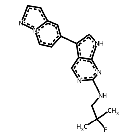 CC(C)(F)CNc1ncc2c(-c3ccn4nccc4c3)c[nH]c2n1